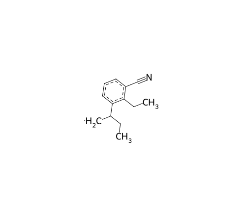 [CH2]C(CC)c1cccc(C#N)c1CC